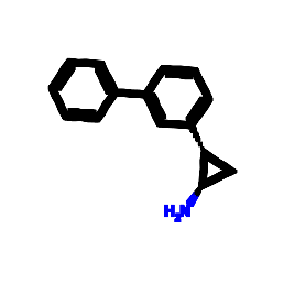 N[C@@H]1C[C@H]1c1cccc(-c2ccccc2)c1